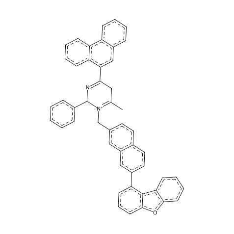 CC1=[N+](Cc2ccc3ccc(-c4cccc5oc6ccccc6c45)cc3c2)C(c2ccccc2)N=C(c2cc3ccccc3c3ccccc23)C1